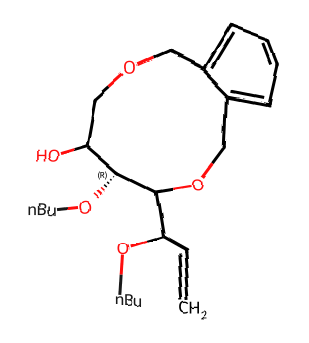 C=CC(OCCCC)C1OCc2ccccc2COCC(O)[C@H]1OCCCC